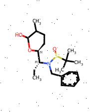 CC[C@H]([C@@H]1CCC(C)C(O)O1)N(Cc1ccccc1)[S+]([O-])C(C)(C)C